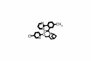 Cc1ccc(-c2ncccn2)c(C(=O)N2C(COc3ccc(Cl)cn3)CC3CC2C3)c1